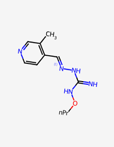 CCCONC(=N)N/N=C/c1ccncc1C